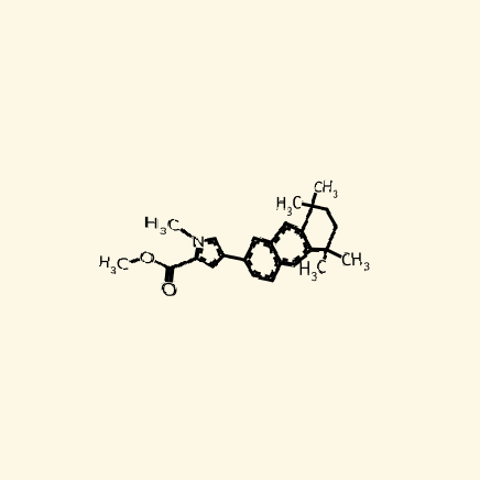 COC(=O)c1cc(-c2ccc3cc4c(cc3c2)C(C)(C)CCC4(C)C)cn1C